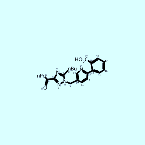 CCCCc1nc(C(=O)CCC)nn1Cc1ccc(-c2ccccc2C(=O)O)nc1